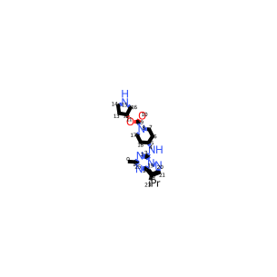 Cc1nc(NC2CCN(C(=O)OC3CCNC3)CC2)n2ncc(C(C)C)c2n1